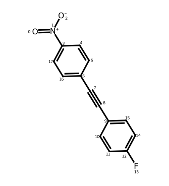 O=[N+]([O-])c1ccc(C#Cc2ccc(F)cc2)cc1